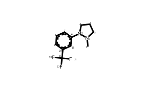 CN1CCCN1c1cccc(C(F)(F)F)c1